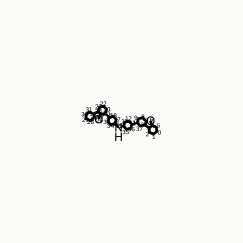 c1ccc2c(c1)oc1ccc(-c3ccc(Nc4ccc(-c5cccc6c5oc5ccccc56)cc4)cc3)cc12